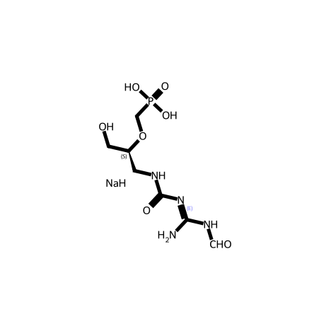 N/C(=N\C(=O)NC[C@@H](CO)OCP(=O)(O)O)NC=O.[NaH]